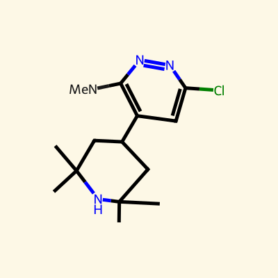 CNc1nnc(Cl)cc1C1CC(C)(C)NC(C)(C)C1